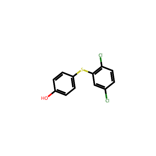 Oc1ccc(Sc2cc(Cl)ccc2Cl)cc1